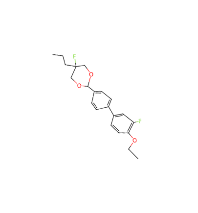 CCCC1(F)COC(c2ccc(-c3ccc(OCC)c(F)c3)cc2)OC1